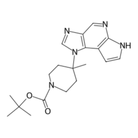 CC(C)(C)OC(=O)N1CCC(C)(n2cnc3cnc4[nH]ccc4c32)CC1